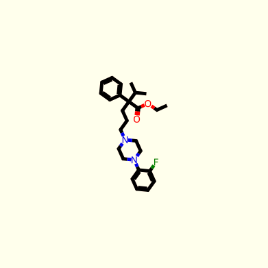 CCOC(=O)C(CCCN1CCN(c2ccccc2F)CC1)(c1ccccc1)C(C)C